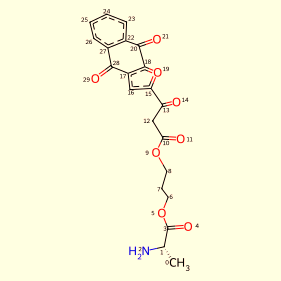 C[C@H](N)C(=O)OCCCOC(=O)CC(=O)c1cc2c(o1)C(=O)c1ccccc1C2=O